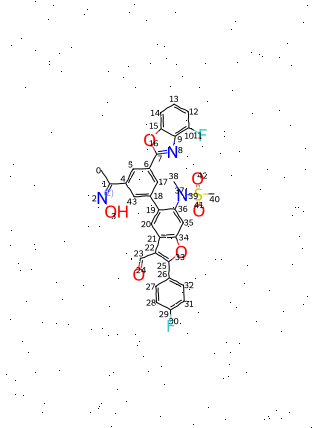 C/C(=N/O)c1cc(-c2nc3c(F)cccc3o2)cc(-c2cc3c(C=O)c(-c4ccc(F)cc4)oc3cc2N(C)S(C)(=O)=O)c1